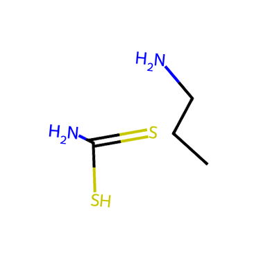 CCCN.NC(=S)S